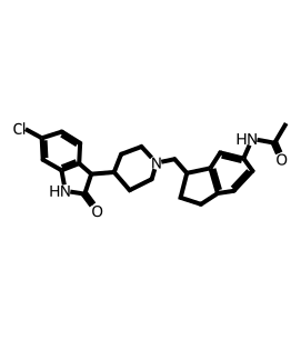 CC(=O)Nc1ccc2c(c1)C(CN1CCC(C3C(=O)Nc4cc(Cl)ccc43)CC1)CC2